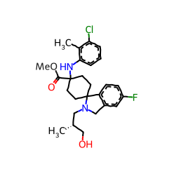 COC(=O)C1(Nc2cccc(Cl)c2C)CCC2(CC1)c1ccc(F)cc1CN2C[C@@H](C)CO